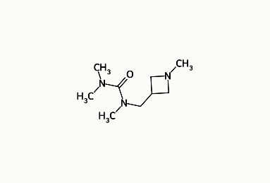 CN1CC(CN(C)C(=O)N(C)C)C1